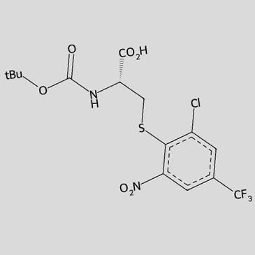 CC(C)(C)OC(=O)N[C@@H](CSc1c(Cl)cc(C(F)(F)F)cc1[N+](=O)[O-])C(=O)O